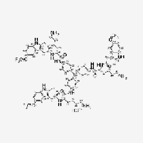 Cc1[nH]c2ccc(OC(F)(F)F)cc2c1CC(=O)N[C@H](CCCCN)C(=O)Nc1ccc(C(c2ccc(NC(=O)[C@@H](CCCCN)NC(=O)Cc3c(C)[nH]c4ccc(OC(F)(F)F)cc34)cc2)c2ccc(NC(=O)[C@@H](CCCCN)NC(=O)Cc3c(C)[nH]c4ccc(OC(F)(F)F)cc34)cc2)cc1.Cl